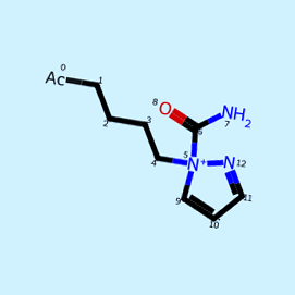 CC(=O)CCCC[N+]1(C(N)=O)C=[C]C=N1